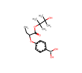 CCC(Oc1ccc(B(O)O)cc1)C(=O)OC(C)(C)C(C)(C)O